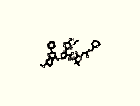 CCC[C@H](NC(=O)[C@@H]1C[C@@H](Oc2cc(-c3ccccc3)nc3cc(OC)ccc23)C=C1C(=O)N[C@@H](C(=O)NCC(=O)OCC1CCCCC1)C(C)(C)C)C(=O)O